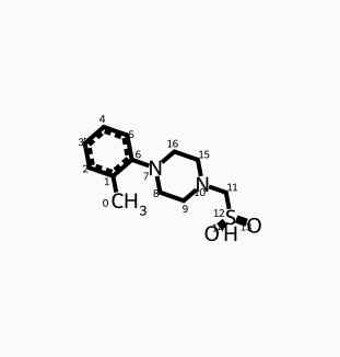 Cc1c[c]ccc1N1CCN(C[SH](=O)=O)CC1